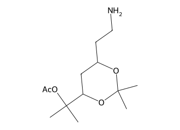 CC(=O)OC(C)(C)C1CC(CCN)OC(C)(C)O1